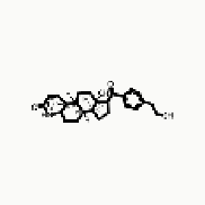 C[C@]12C=CC(=O)NC1CC[C@@H]1[C@H]2CC[C@]2(C)C(C(=O)c3ccc(CCS)cc3)CC[C@@H]12